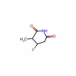 CC1C(=O)NC(=O)CC1F